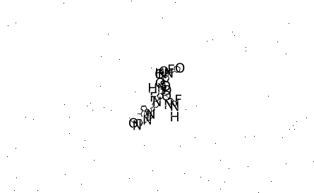 COc1ccc(CN2CCN(C3CC4(CCN(c5cc(Oc6cnc7[nH]cc(F)c7c6)c(C(=O)NS(=O)(=O)c6ccc(NCC7(F)CCOCC7)c([N+](=O)[O-])c6)cc5F)CC4)C3)[C@H](c3ccccc3C(C)C)C2)cn1